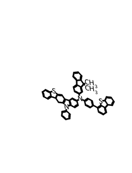 CC1(C)c2ccccc2-c2ccc(N(c3ccc(-c4cccc5c4SC4C=CC=CC54)cc3)c3ccc4c(c3)c3c(n4-c4ccccc4)CC4C(=C3)Sc3ccccc34)cc21